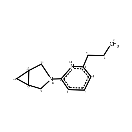 CCCc1cccc(N2CC3CC3C2)n1